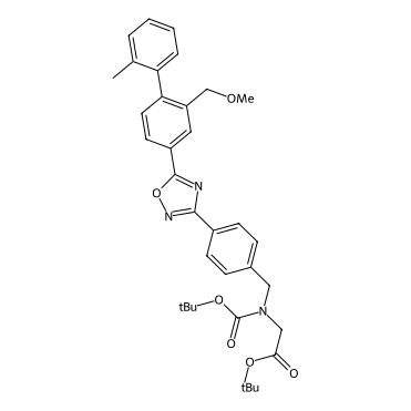 COCc1cc(-c2nc(-c3ccc(CN(CC(=O)OC(C)(C)C)C(=O)OC(C)(C)C)cc3)no2)ccc1-c1ccccc1C